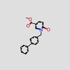 COC(=O)c1ccc(=O)n(Cc2ccc(-c3ccccc3)cc2)c1